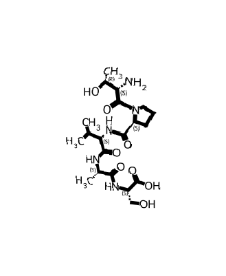 CC(C)[C@H](NC(=O)[C@@H]1CCCN1C(=O)[C@@H](N)[C@@H](C)O)C(=O)N[C@@H](C)C(=O)N[C@@H](CO)C(=O)O